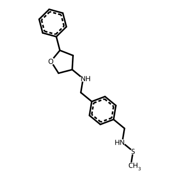 CSNCc1ccc(CNC2COC(c3ccccc3)C2)cc1